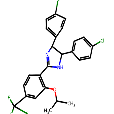 CC(C)Oc1cc(C(F)(F)F)ccc1C1=NC(c2ccc(Cl)cc2)C(c2ccc(Cl)cc2)N1